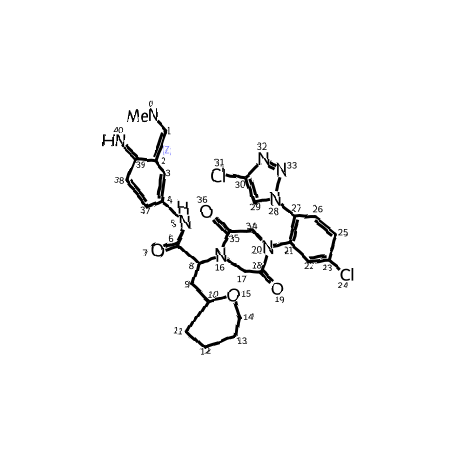 CN/C=C1/C=C(NC(=O)C(CC2CCCCO2)N2CC(=O)N(c3cc(Cl)ccc3-n3cc(Cl)nn3)CC2=O)C=CC1=N